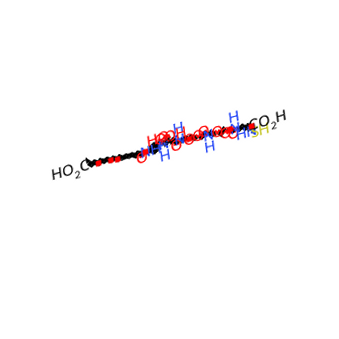 O=C(O)CCCCCCCCCCCCCCCCCC(=O)NC[C@H]1CC[C@H](C(=O)N[C@@H](CCC(=O)NCCOCCOCC(=O)NCCOCCOCC(=O)NCCCC[C@H](NS)C(=O)O)C(O)O)CC1